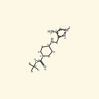 Cn1cc(N)c(CNC2CCN(C(=O)OC(C)(C)C)CC2)n1